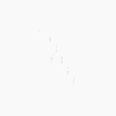 CCCCCCCCCCCCCCCCCCN.CN(C)C